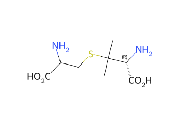 CC(C)(SCC(N)C(=O)O)[C@H](N)C(=O)O